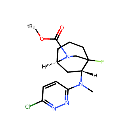 CN(c1ccc(Cl)nn1)[C@@H]1C[C@H]2CCCC1(F)CN2C(=O)OC(C)(C)C